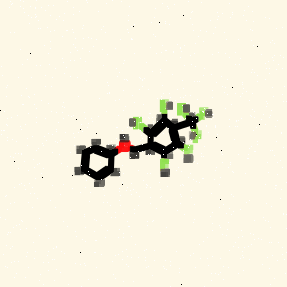 Fc1c(F)c(C(F)(F)F)c(F)c(F)c1COc1cc[c]cc1